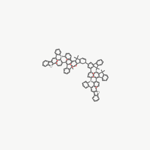 CC1(C)C2=C(CC(c3cc(-c4ccc(N(c5ccccc5-c5ccc6oc7ccccc7c6c5)c5ccccc5-c5cccc6c5-c5ccccc5C6(C)C)cc4)c4c(c3)-c3ccccc3C4(C)C)C=C2)c2cccc(-c3cccc(N(c4ccccc4-c4ccc5oc6ccccc6c5c4)c4ccccc4-c4cccc5c4-c4ccccc4C5(C)C)c3)c21